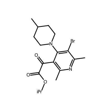 Cc1nc(C)c(C(=O)C(=O)OC(C)C)c(N2CCC(C)CC2)c1Br